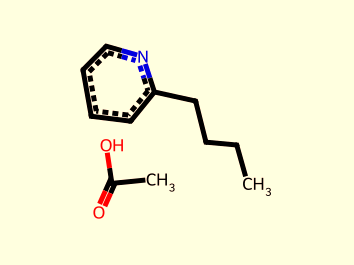 CC(=O)O.CCCCc1ccccn1